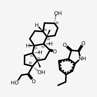 CCc1ccc2c(c1)NC(=O)C2=O.C[C@]12CC[C@@H](O)C[C@H]1CC[C@@H]1[C@@H]2C(=O)C[C@@]2(C)[C@H]1CC[C@]2(O)C(=O)CO